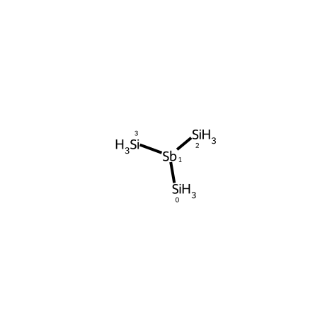 [SiH3][Sb]([SiH3])[SiH3]